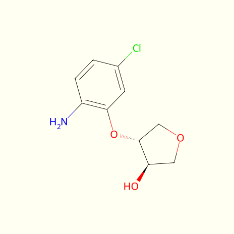 Nc1ccc(Cl)cc1O[C@@H]1COC[C@H]1O